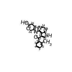 Cc1ccccc1C(=O)c1c[nH]c2ncnc(N[C@H]3CC[C@H](O)OC3)c12